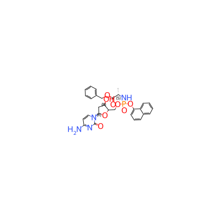 C[C@H](NP(=O)(OCC1O[C@@H](n2ccc(N)nc2=O)C[C@H]1O)Oc1cccc2ccccc12)C(=O)OCc1ccccc1